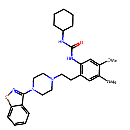 COc1cc(CCN2CCN(c3nsc4ccccc34)CC2)c(NC(=O)NC2CCCCC2)cc1OC